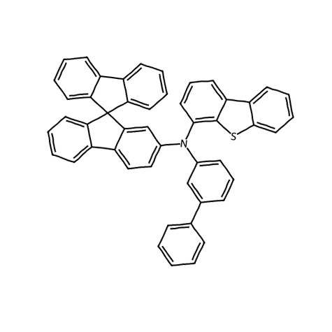 c1ccc(-c2cccc(N(c3ccc4c(c3)C3(c5ccccc5-c5ccccc53)c3ccccc3-4)c3cccc4c3sc3ccccc34)c2)cc1